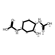 O=C(O)N[C@H]1CC[C@H](NC(=O)O)[C@@H](O)C1